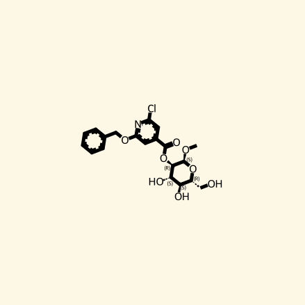 CO[C@H]1O[C@H](CO)[C@@H](O)[C@H](O)[C@H]1OC(=O)c1cc(Cl)nc(OCc2ccccc2)c1